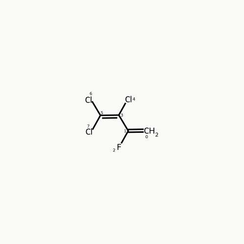 C=C(F)C(Cl)=C(Cl)Cl